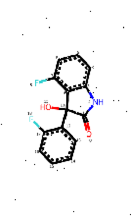 O=C1Nc2cccc(F)c2C1(O)c1ccccc1F